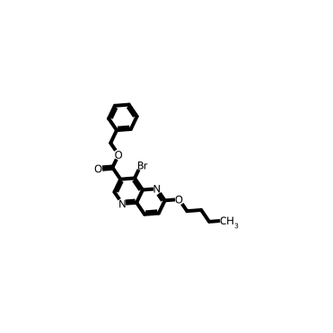 CCCCOc1ccc2ncc(C(=O)OCc3ccccc3)c(Br)c2n1